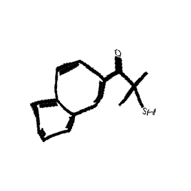 CC(C)(S)C(=O)c1ccc2ccccc2c1